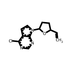 C=CC1CCC(n2ccc3c(Cl)ncnc32)O1